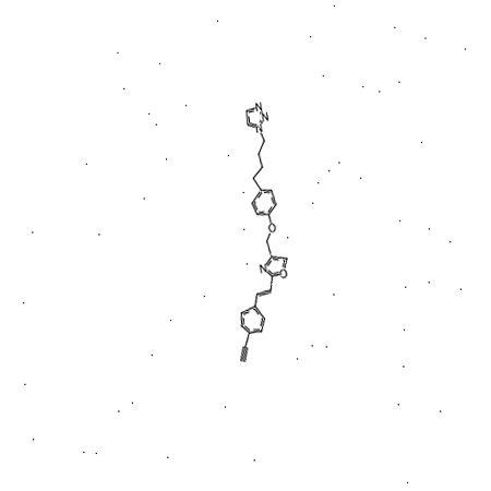 C#Cc1ccc(/C=C/c2nc(COc3ccc(CCCCn4ccnn4)cc3)co2)cc1